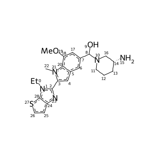 CCn1c(-c2cc3cc(C(O)N4CCC[C@@H](N)C4)cc(OC)c3n2C)nc2ccsc21